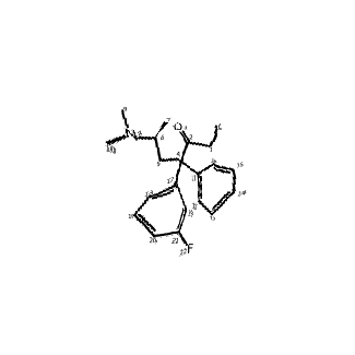 CCC(=O)C(C[C@H](C)N(C)C)(c1ccccc1)c1cccc(F)c1